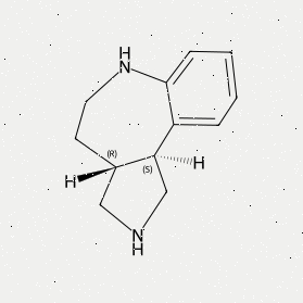 c1ccc2c(c1)NCC[C@H]1CNC[C@H]21